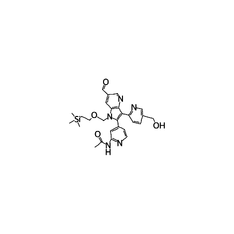 CC(=O)Nc1cc(-c2c(-c3ccc(CO)cn3)c3ncc(C=O)cc3n2COCC[Si](C)(C)C)ccn1